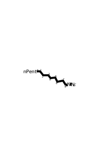 CCCCCCCCCCCCC=[N+]=[N-]